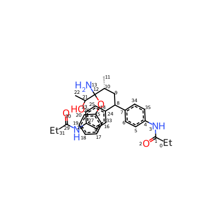 CCC(=O)Nc1ccc(C(C[C@@H](C)C(N)(Oc2ccccc2)C(C)O)c2ccc(NC(=O)CC)cc2)cc1